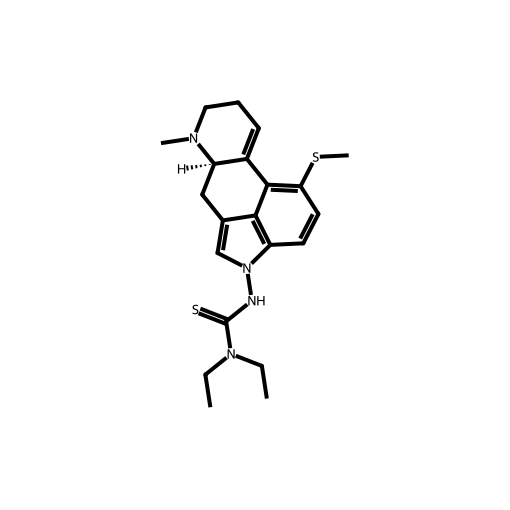 CCN(CC)C(=S)Nn1cc2c3c(c(SC)ccc31)C1=CCCN(C)[C@@H]1C2